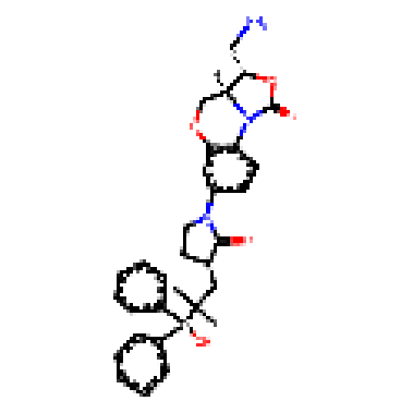 CC(C)(C[C@H]1CCN(c2ccc3c(c2)OC[C@H]2[C@H](CN)OC(=O)N32)C1=O)[Si](O)(c1ccccc1)c1ccccc1